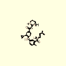 Cc1ccc(Nc2ccc(C(=O)N=C3NCCCN3)cc2C2CC2)cc1C(=O)NCCC(C)C